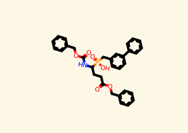 O=C(CCC(NC(=O)OCc1ccccc1)P(=O)(O)Cc1cccc(-c2ccccc2)c1)OCc1ccccc1